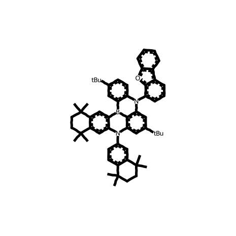 CC(C)(C)c1ccc2c(c1)B1c3cc4c(cc3N(c3ccc5c(c3)C(C)(C)CCC5(C)C)c3cc(C(C)(C)C)cc(c31)N2c1cccc2c1oc1ccccc12)C(C)(C)CCC4(C)C